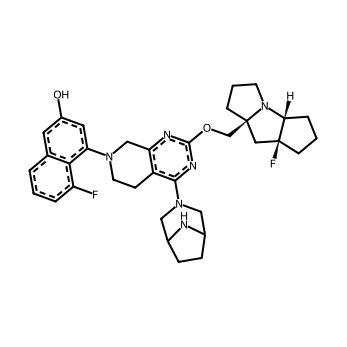 Oc1cc(N2CCc3c(nc(OC[C@@]45CCCN4[C@@H]4CCC[C@]4(F)C5)nc3N3CC4CCC(C3)N4)C2)c2c(F)cccc2c1